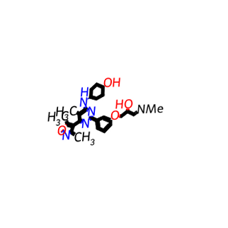 CNCC(O)COc1cccc(-c2nc(N[C@H]3CC[C@@H](O)CC3)c(C)c(-c3c(C)noc3C)n2)c1